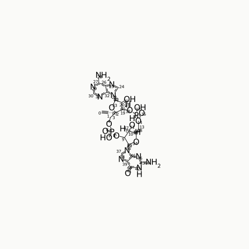 C#C[C@@]12COP(=O)(O)OC3[C@@H](O)[C@@H](COP(=O)(O)O[C@@H]1C(O)[C@H](n1cnc4c(N)ncnc41)O2)O[C@H]3n1cnc2c(=O)[nH]c(N)nc21